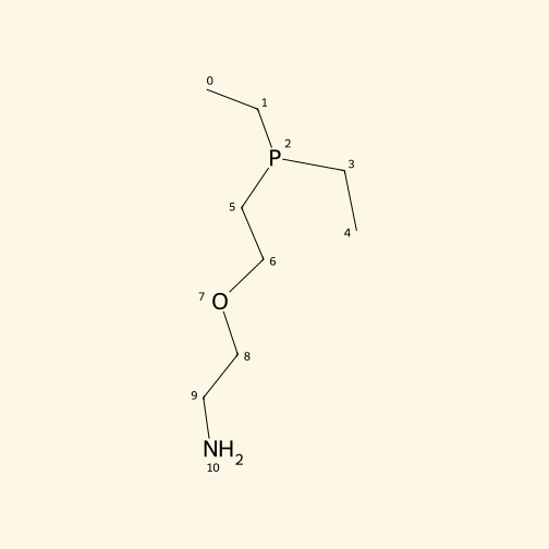 CCP(CC)CCOCCN